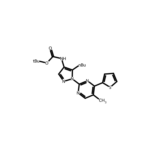 CCCCc1c(NC(=O)OC(C)(C)C)cnn1-c1ncc(C)c(-c2cccs2)n1